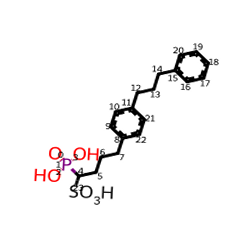 O=P(O)(O)C(CCCc1ccc(CCCc2ccccc2)cc1)S(=O)(=O)O